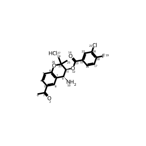 CC(=O)c1ccc2c(c1)[C@@H](N)[C@H](OC(=O)c1ccc(F)c(Cl)c1)C(C)(C)O2.Cl